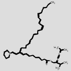 CCCCC/C=C\CC/C=C\CCCC/C=C/CCCC(CCCCCCCCC(=S)OCC(=C=C=C(C)C)C(C)C)CCN1CCCCC1